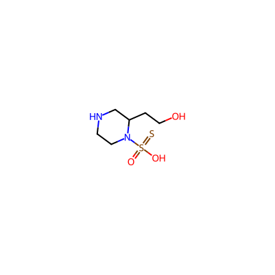 O=S(O)(=S)N1CCNCC1CCO